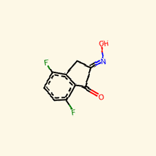 O=C1/C(=N/O)Cc2c(F)ccc(F)c21